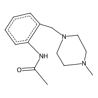 CC(=O)Nc1ccccc1CN1CCN(C)CC1